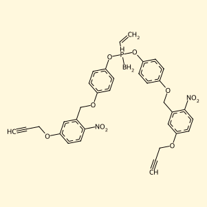 B[PH](C=C)(Oc1ccc(OCc2cc(OCC#C)ccc2[N+](=O)[O-])cc1)Oc1ccc(OCc2cc(OCC#C)ccc2[N+](=O)[O-])cc1